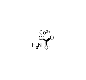 N.O=C([O-])[O-].[Co+2]